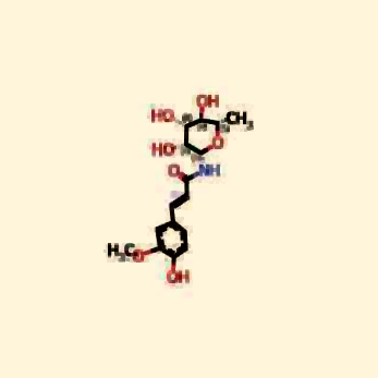 COc1cc(/C=C/C(=O)N[C@H]2O[C@@H](C)[C@H](O)[C@@H](O)[C@H]2O)ccc1O